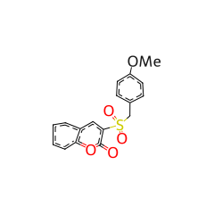 COc1ccc(CS(=O)(=O)c2cc3ccccc3oc2=O)cc1